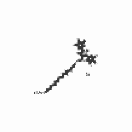 CCCCCCCCCCCCCCCCCCCCCCCCCCCCCC1=C(c2cc(C)c(C)c(C)c2)[N+](=[N-])C(c2cc(C)c(C)c(C)c2)=C1C.[Ni]